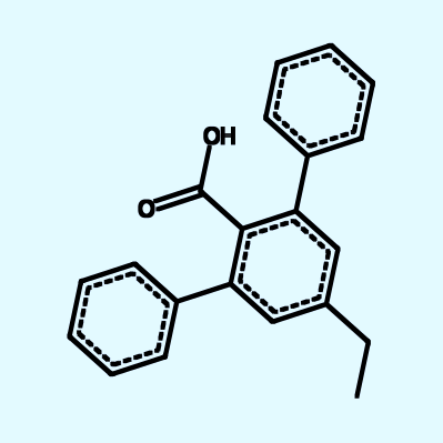 CCc1cc(-c2ccccc2)c(C(=O)O)c(-c2ccccc2)c1